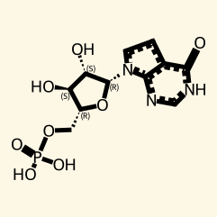 O=c1[nH]cnc2c1ccn2[C@@H]1O[C@H](COP(=O)(O)O)[C@@H](O)[C@@H]1O